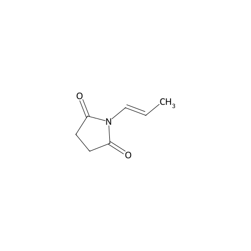 CC=CN1C(=O)CCC1=O